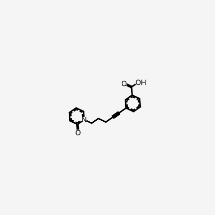 O=C(O)c1cccc(C#CCCCn2ccccc2=O)c1